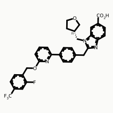 O=C(O)c1ccc2nc(Cc3ccc(-c4cccc(OCc5ccc(C(F)(F)F)cc5F)n4)cc3)n(C[C@@H]3CCOC3)c2c1